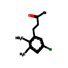 CCC(=O)CCc1cc(Br)cc(C)c1C(=O)O